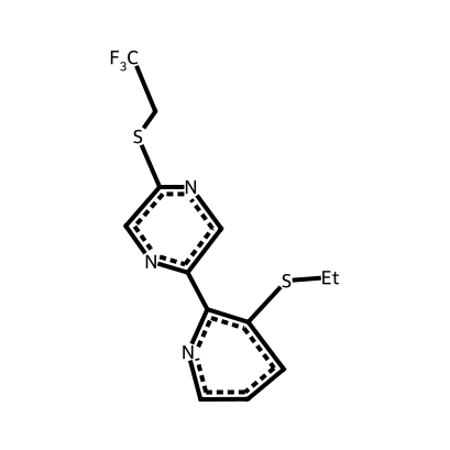 CCSc1cccnc1-c1cnc(SCC(F)(F)F)cn1